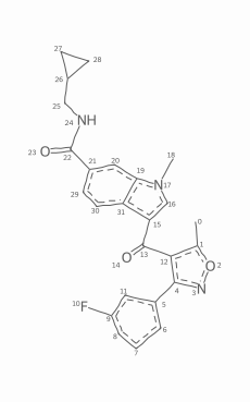 Cc1onc(-c2cccc(F)c2)c1C(=O)c1cn(C)c2cc(C(=O)NCC3CC3)ccc12